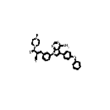 CN1CCN(C(=O)/C(C#N)=C/c2cccc(-n3cc(-c4ccc(Oc5ccccc5)cc4)c4c(N)ncnc43)c2)CC1